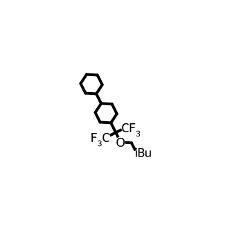 CCC(C)COC(C1CCC(C2CCCCC2)CC1)(C(F)(F)F)C(F)(F)F